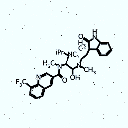 CC(C)C[C@@H](C(O)N(C)[C@H](C#N)C[C@@]1(C)C(=O)Nc2ccccc21)N(C)C(=O)c1cnc2c(C(F)(F)F)cccc2c1